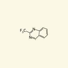 FC(F)(F)c1n[c]c2ccccc2n1